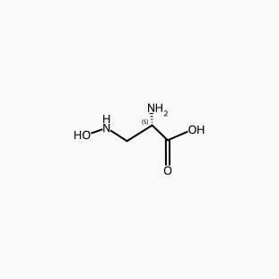 N[C@@H](CNO)C(=O)O